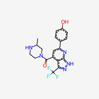 CC1CN(C(=O)c2cc(-c3ccc(O)cc3)nc3[nH]nc(C(F)(F)F)c23)CCN1